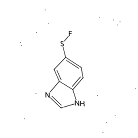 FSc1ccc2[nH]cnc2c1